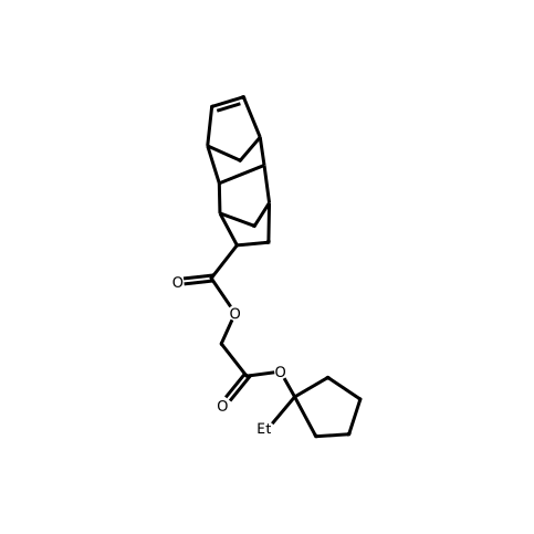 CCC1(OC(=O)COC(=O)C2CC3CC2C2C4C=CC(C4)C32)CCCC1